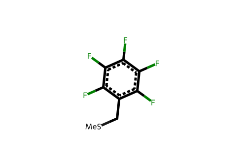 [CH2]SCc1c(F)c(F)c(F)c(F)c1F